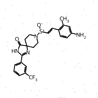 Cc1cc(N)ccc1/C=C/[S@+]([O-])N1CCC2(CC1)N=C(c1cccc(C(F)(F)F)c1)NC2=O